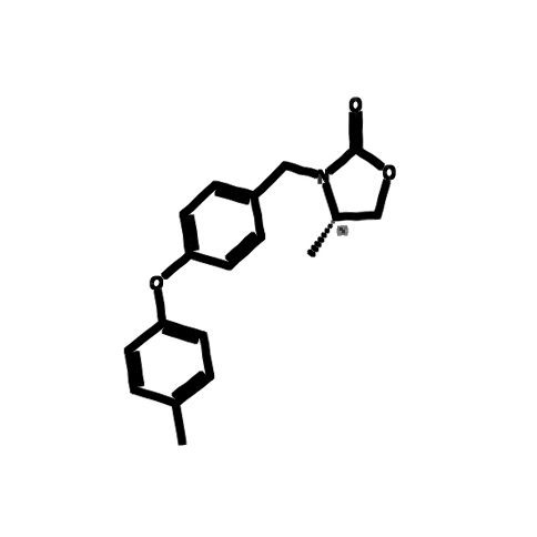 Cc1ccc(Oc2ccc(CN3C(=O)OC[C@@H]3C)cc2)cc1